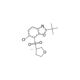 CC(C)(C)c1nc2ccc(Cl)c(S(=O)(=O)[C@]3(C)CCOC3)c2o1